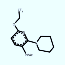 CNc1ccc(OCC(F)(F)F)nc1N1CCCCC1